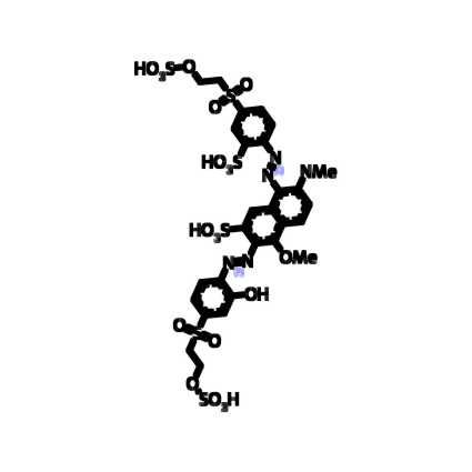 CNc1ccc2c(OC)c(/N=N/c3ccc(S(=O)(=O)CCOS(=O)(=O)O)cc3O)c(S(=O)(=O)O)cc2c1/N=N/c1ccc(S(=O)(=O)CCOS(=O)(=O)O)cc1S(=O)(=O)O